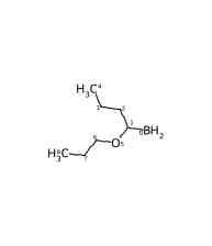 BC(CCC)OCCC